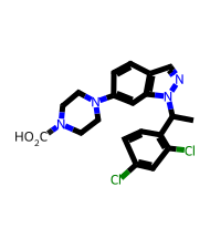 CC(c1ccc(Cl)cc1Cl)n1ncc2ccc(N3CCN(C(=O)O)CC3)cc21